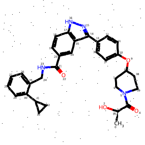 C[C@@H](O)C(=O)N1CCC(Oc2ccc(-c3n[nH]c4ccc(C(=O)NCc5ccccc5C5CC5)cc34)cc2)CC1